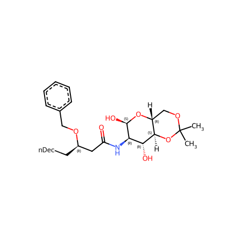 CCCCCCCCCCC[C@H](CC(=O)N[C@@H]1[C@@H](O)[C@@H]2OC(C)(C)OC[C@H]2O[C@@H]1O)OCc1ccccc1